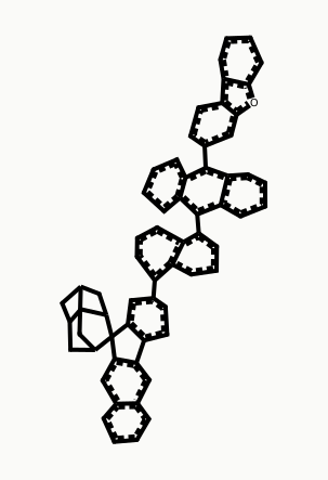 c1ccc2cc3c(cc2c1)-c1ccc(-c2cccc4c(-c5c6ccccc6c(-c6ccc7c(c6)oc6ccccc67)c6ccccc56)cccc24)cc1C31C2CC3CC(C2)CC1C3